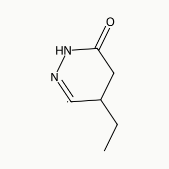 CCC1[C]=NNC(=O)C1